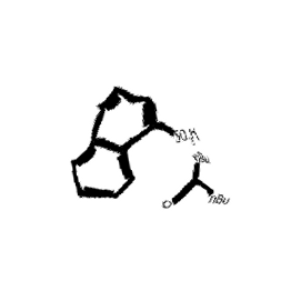 CCCCC(=O)CCCC.O=S(=O)(O)c1cccc2ccccc12